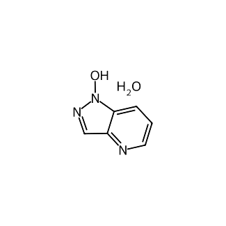 O.On1ncc2ncccc21